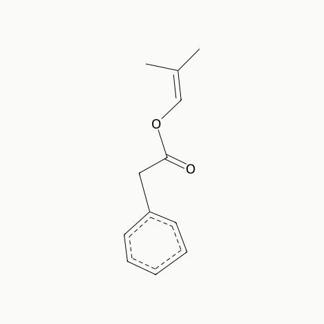 CC(C)=COC(=O)Cc1ccccc1